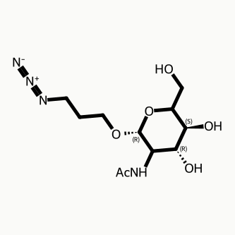 CC(=O)NC1[C@H](OCCCN=[N+]=[N-])OC(CO)[C@@H](O)[C@@H]1O